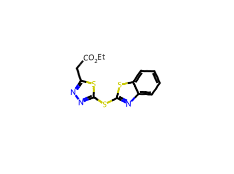 CCOC(=O)Cc1nnc(Sc2nc3ccccc3s2)s1